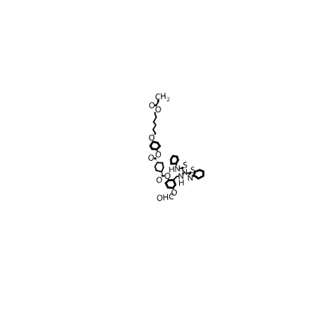 C=CC(=O)OCCCCCCOc1ccc(OC(=O)[C@H]2CC[C@H](C(=O)Oc3ccc(OC=O)cc3CNN(C(=S)Nc3ccccc3)c3nc4ccccc4s3)CC2)cc1